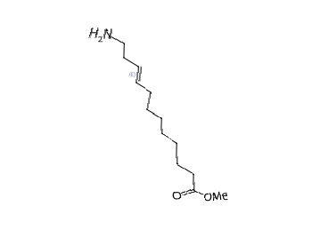 COC(=O)CCCCCCC/C=C/CCN